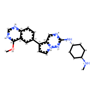 CN[C@H]1CC[C@H](Nc2ncc3c(-c4ccc5ncnc(OC)c5c4)ccn3n2)CC1